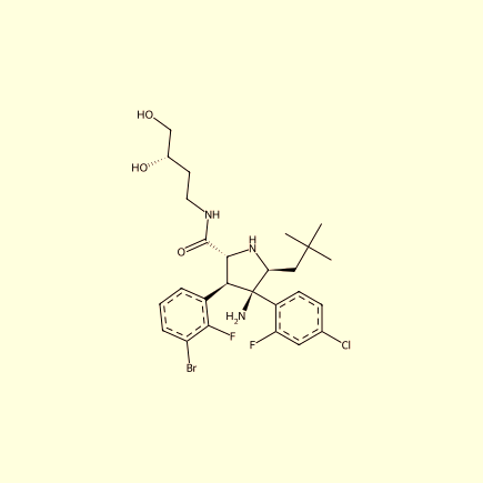 CC(C)(C)C[C@@H]1N[C@@H](C(=O)NCC[C@H](O)CO)[C@H](c2cccc(Br)c2F)[C@@]1(N)c1ccc(Cl)cc1F